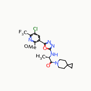 COc1nc(C(F)(F)F)c(Cl)cc1-c1nnc(N[C@H](C)C(=O)N2CCC3(CC2)CC3)o1